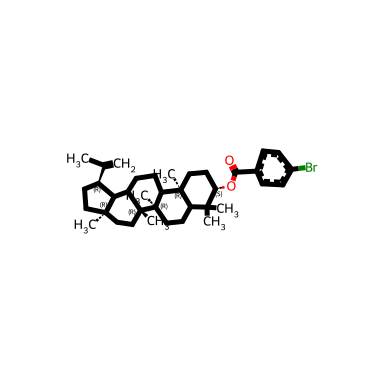 C=C(C)[C@@H]1CC[C@]2(C)CC[C@]3(C)C(CCC4[C@@]5(C)CC[C@H](OC(=O)c6ccc(Br)cc6)C(C)(C)C5CC[C@]43C)C12